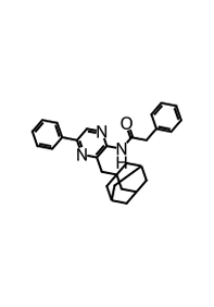 O=C(Cc1ccccc1)Nc1ncc(-c2ccccc2)nc1CC12CC3CC(CC(C3)C1)C2